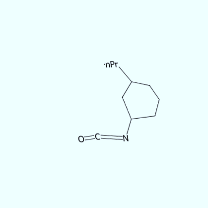 CC[CH]C1CCCC(N=C=O)C1